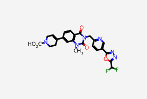 Cn1c(=O)n(Cc2ccc(-c3nnc(C(F)F)o3)cn2)c(=O)c2ccc(C3=CCN(C(=O)O)CC3)cc21